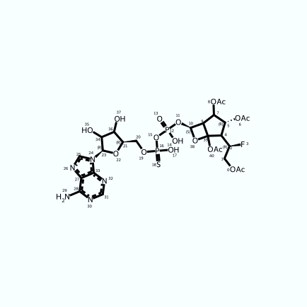 CC(=O)OC[C@H](F)C1[C@@H](OC(C)=O)C(OC(C)=O)C2[C@H](OP(=O)(O)OP(O)(=S)OC[C@H]3O[C@@H](n4cnc5c(N)ncnc54)C(O)C3O)OC21OC(C)=O